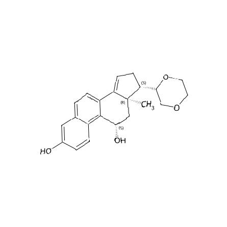 C[C@]12C[C@H](O)c3c(ccc4cc(O)ccc34)C1=CC[C@@H]2C1COCCO1